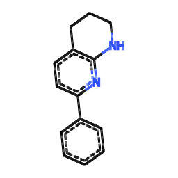 c1ccc(-c2ccc3c(n2)NCCC3)cc1